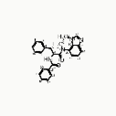 CN(C(=O)C(Cc1ccccc1)NC(=O)c1ccccc1)c1cccc2ncn(C)c12